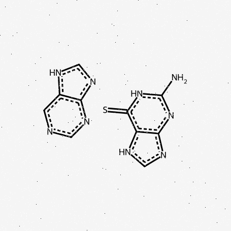 Nc1nc2nc[nH]c2c(=S)[nH]1.c1ncc2[nH]cnc2n1